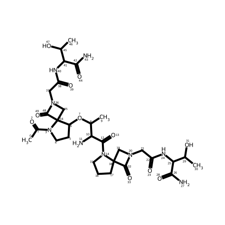 CC(=O)N1CCC(OC(C)C(N)C(=O)N2CCCC23CN(CC(=O)NC(C(N)=O)C(C)O)C3=O)C12CN(CC(=O)NC(C(N)=O)C(C)O)C2=O